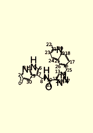 Cc1cnc2[nH]cc(CNC(=O)c3cn(Cc4ccc5nc(C)ccc5c4)nn3)c2c1